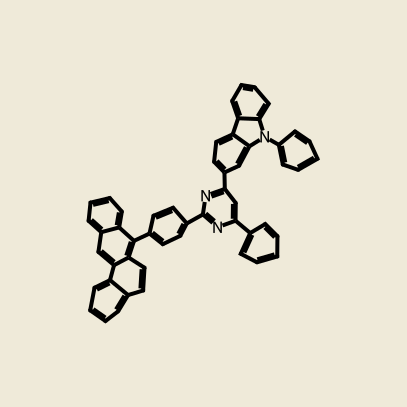 c1ccc(-c2cc(-c3ccc4c5ccccc5n(-c5ccccc5)c4c3)nc(-c3ccc(-c4c5ccccc5cc5c4ccc4ccccc45)cc3)n2)cc1